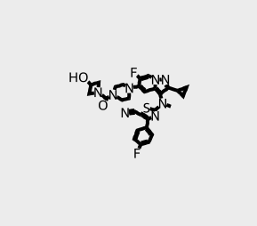 CN(c1nc(-c2ccc(F)cc2)c(C#N)s1)c1c(C2CC2)nn2cc(F)c(N3CCN(C(=O)N4CC(O)C4)CC3)cc12